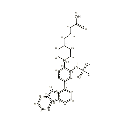 CS(=O)(=O)Nc1cc(-c2cccc3c2oc2ccccc23)ccc1N1CCC(CSCC(=O)O)CC1